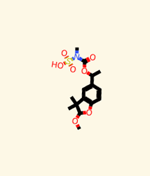 COC1Oc2ccc(C(C)OC(=O)N(C)S(=O)(=O)O)cc2C1(C)C